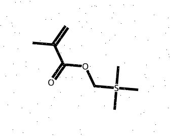 C=C(C)C(=O)OCS(C)(C)C